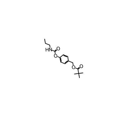 CCCNC(=O)Oc1ccc(COC(=O)C(C)(C)C)cc1